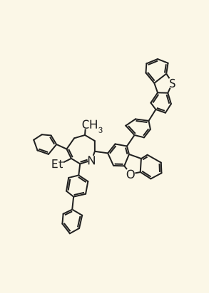 CCC1=C(\C2=CCCC=C2)CC(C)CC(c2cc(-c3ccc(-c4ccc5sc6ccccc6c5c4)cc3)c3c(c2)oc2ccccc23)/N=C\1c1ccc(-c2ccccc2)cc1